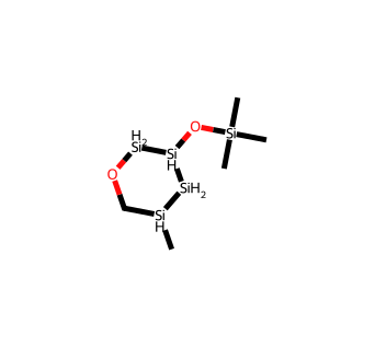 C[SiH]1CO[SiH2][SiH](O[Si](C)(C)C)[SiH2]1